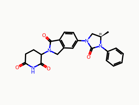 C[C@@H]1CN(c2ccc3c(c2)CN(C2CCC(=O)NC2=O)C3=O)C(=O)N1c1ccccc1